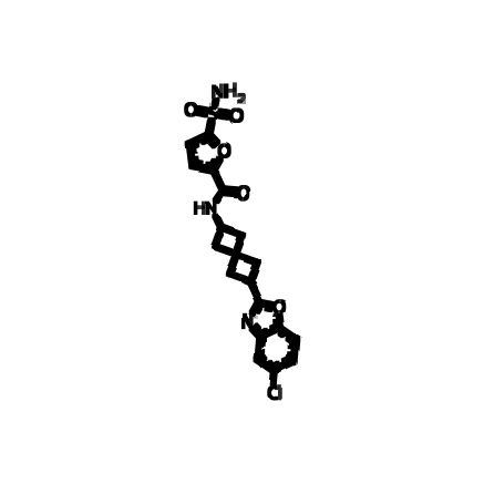 NS(=O)(=O)c1ccc(C(=O)NC2CC3(C2)CC(c2nc4cc(Cl)ccc4o2)C3)o1